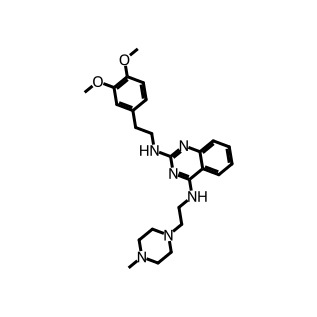 COc1ccc(CCNc2nc(NCCN3CCN(C)CC3)c3ccccc3n2)cc1OC